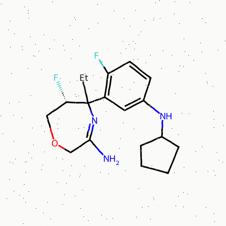 CCC1(c2cc(NC3CCCC3)ccc2F)N=C(N)COC[C@@H]1F